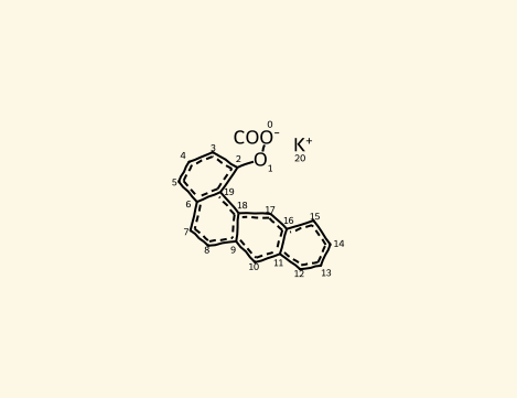 O=C([O-])Oc1cccc2ccc3cc4ccccc4cc3c12.[K+]